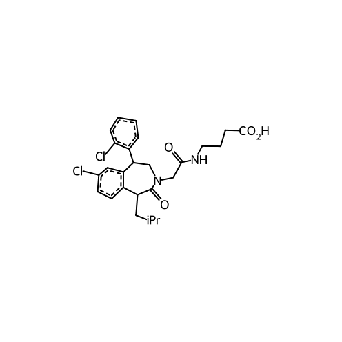 CC(C)CC1C(=O)N(CC(=O)NCCCC(=O)O)CC(c2ccccc2Cl)c2cc(Cl)ccc21